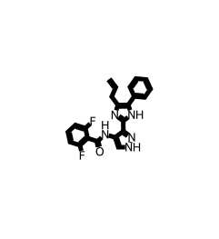 C=CCc1nc(-c2n[nH]cc2NC(=O)c2c(F)cccc2F)[nH]c1-c1ccccc1